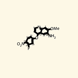 COc1cc2nccc(Oc3ccc([N+](=O)[O-])c(F)c3)c2cc1N